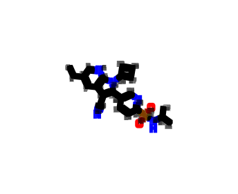 CCc1cnc2c(c1)c(C#N)c(-c1ccc(S(=O)(=O)NC(C)C)nc1)n2C1=CC=C1